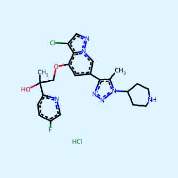 Cc1c(-c2cc(OCC(C)(O)c3ccc(F)cn3)c3c(Cl)cnn3c2)nnn1C1CCNCC1.Cl